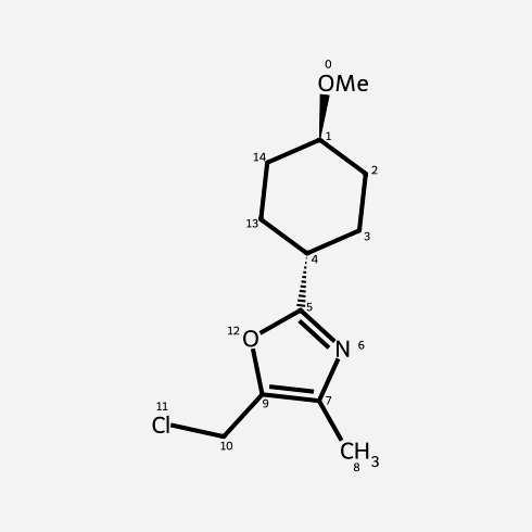 CO[C@H]1CC[C@H](c2nc(C)c(CCl)o2)CC1